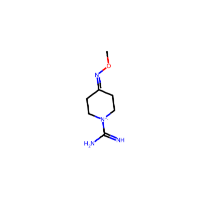 CON=C1CC[N+](C(=N)N)CC1